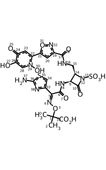 CC(C)(O/N=C(\C(=O)N[C@@H]1C(=O)N(S(=O)(=O)O)[C@@H]1CNC(=O)c1cc(-c2cc(=O)c(O)cn2O)on1)c1csc(N)n1)C(=O)O